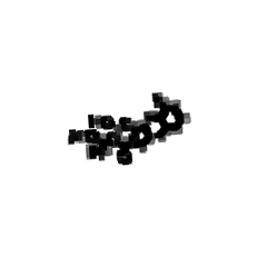 CC(=O)O[C@@H](OC(=O)N1C[C@@H](Cc2cccc(F)c2F)C[C@H]1C(=O)O)C(C)C